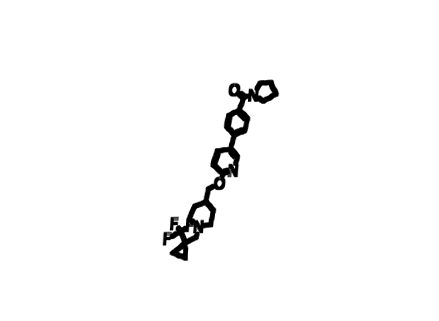 O=C(c1ccc(-c2ccc(OCC3CCN(CC4(C(F)(F)F)CC4)CC3)nc2)cc1)N1CCCC1